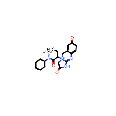 CCC(C(=O)N(C)C1CCCCC1)[N+]12CC(=O)NC1=NC1=CCC(=O)C=C1C2